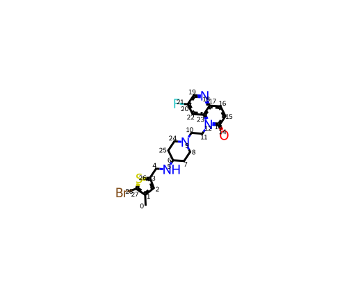 Cc1cc(CNC2CCN(CCn3c(=O)ccc4ncc(F)cc43)CC2)sc1Br